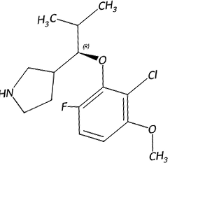 COc1ccc(F)c(O[C@H](C(C)C)C2CCNC2)c1Cl